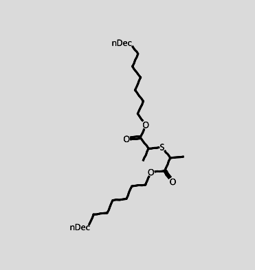 CCCCCCCCCCCCCCCCOC(=O)C(C)SC(C)C(=O)OCCCCCCCCCCCCCCCC